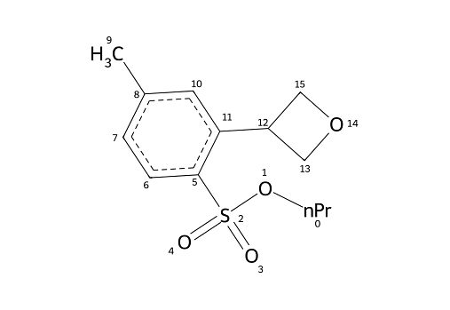 CCCOS(=O)(=O)c1ccc(C)cc1C1COC1